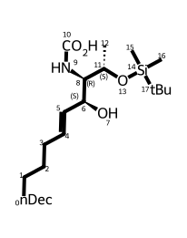 CCCCCCCCCCCCCC=C[C@H](O)[C@@H](NC(=O)O)[C@H](C)O[Si](C)(C)C(C)(C)C